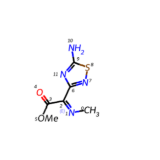 C/N=C(/C(=O)OC)c1nsc(N)n1